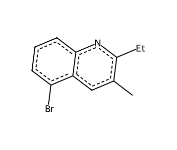 CCc1nc2cccc(Br)c2cc1C